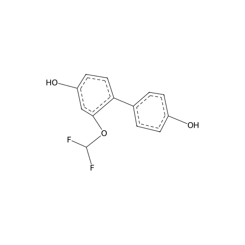 Oc1ccc(-c2ccc(O)cc2OC(F)F)cc1